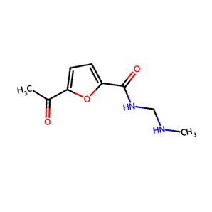 CNCNC(=O)c1ccc(C(C)=O)o1